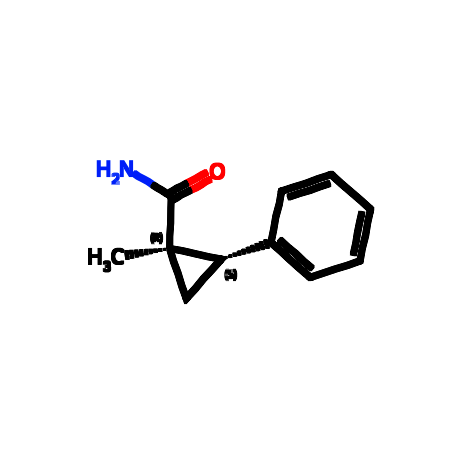 C[C@@]1(C(N)=O)C[C@H]1c1ccccc1